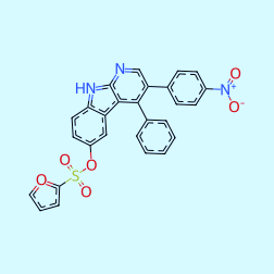 O=[N+]([O-])c1ccc(-c2cnc3[nH]c4ccc(OS(=O)(=O)c5ccco5)cc4c3c2-c2ccccc2)cc1